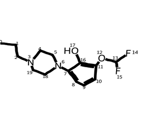 CCCN1CCN(c2cccc(OC(F)F)c2O)CC1